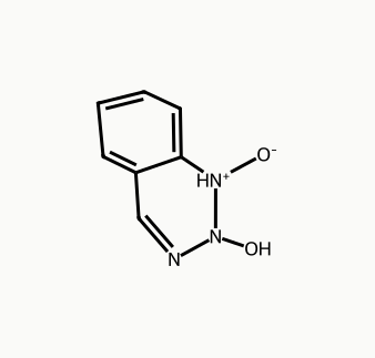 [O-][NH+]1c2ccccc2C=NN1O